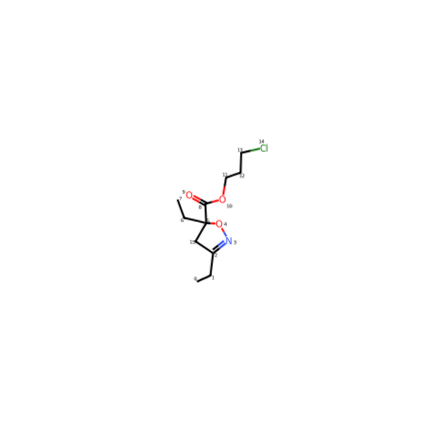 CCC1=NOC(CC)(C(=O)OCCCCl)C1